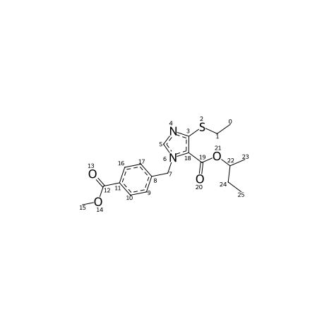 CCSc1ncn(Cc2ccc(C(=O)OC)cc2)c1C(=O)OC(C)CC